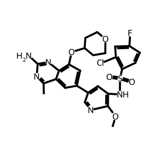 COc1ncc(-c2cc(OC3CCOCC3)c3nc(N)nc(C)c3c2)cc1NS(=O)(=O)c1ccc(F)cc1Cl